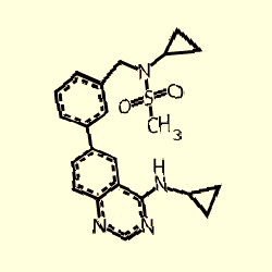 CS(=O)(=O)N(Cc1cccc(-c2ccc3ncnc(NC4CC4)c3c2)c1)C1CC1